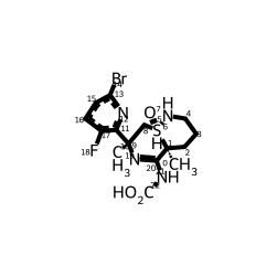 C[C@@]12CCCN[SH]1(=O)C[C@@](C)(c1nc(Br)ccc1F)N=C2NC(=O)O